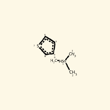 [CH3][SnH]([CH3])[CH3].c1ccsc1